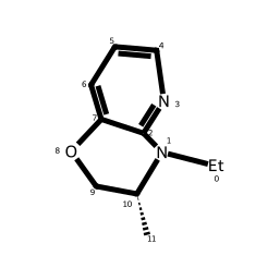 CCN1c2ncccc2OC[C@H]1C